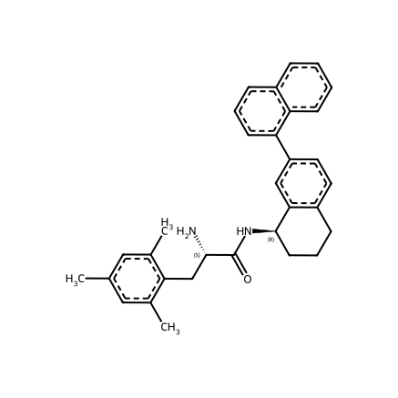 Cc1cc(C)c(C[C@H](N)C(=O)N[C@@H]2CCCc3ccc(-c4cccc5ccccc45)cc32)c(C)c1